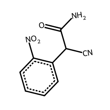 N#CC(C(N)=O)c1ccccc1[N+](=O)[O-]